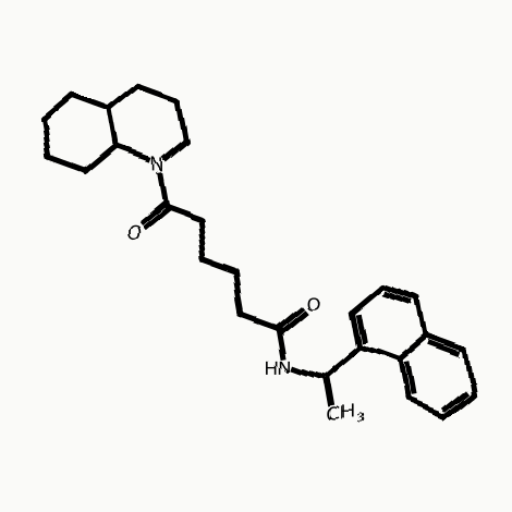 CC(NC(=O)CCCCC(=O)N1CCCC2CCCCC21)c1cccc2ccccc12